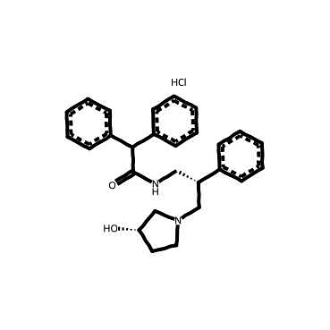 Cl.O=C(NC[C@@H](CN1CC[C@H](O)C1)c1ccccc1)C(c1ccccc1)c1ccccc1